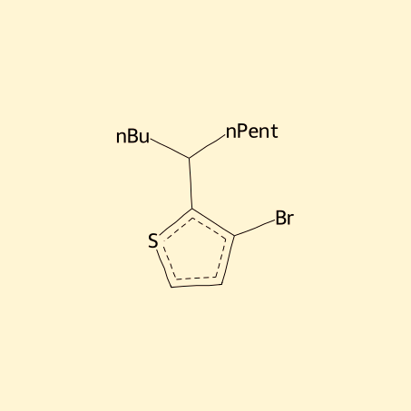 CCCCCC(CCCC)c1sccc1Br